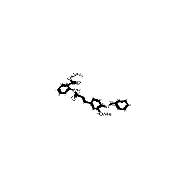 COc1cc(/C=C/C(=O)Nc2ccccc2C(=O)ON)ccc1OCc1ccccc1